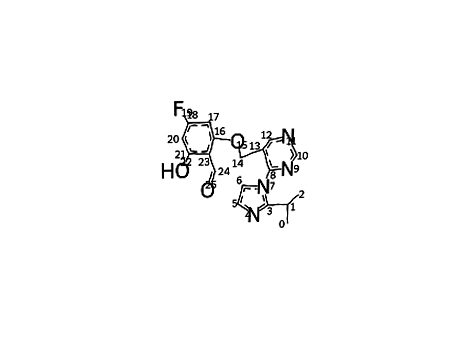 CC(C)c1nccn1-c1ncncc1COc1cc(F)cc(O)c1C=O